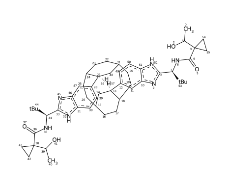 CC(O)C1(C(=O)N[C@H](c2nc3cc([C@@H]4CC5CCC4CCC4CCC(CC5)[C@H](c5ccc6[nH]c([C@@H](NC(=O)C7(C(C)O)CC7)C(C)(C)C)nc6c5)C4)ccc3[nH]2)C(C)(C)C)CC1